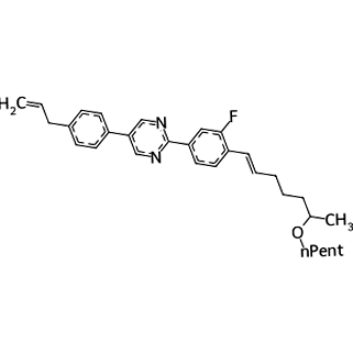 C=CCc1ccc(-c2cnc(-c3ccc(C=CCCCC(C)OCCCCC)c(F)c3)nc2)cc1